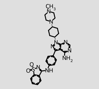 CN1CCN([C@H]2CC[C@@H](n3nc(-c4ccc(NC5=NS(=O)(=O)c6ccccc65)cc4)c4c(N)ncnc43)CC2)CC1